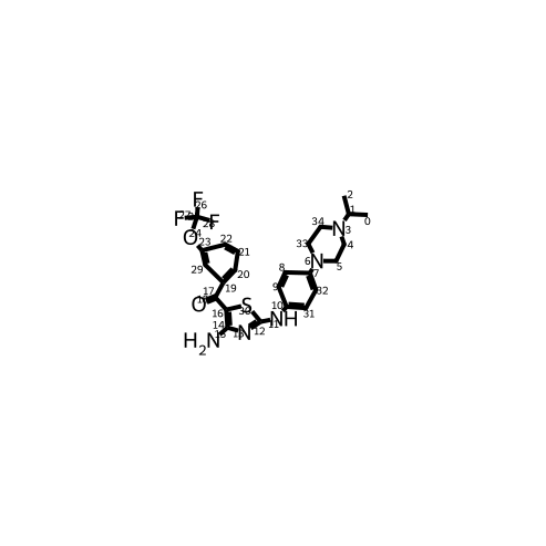 CC(C)N1CCN(c2ccc(Nc3nc(N)c(C(=O)c4cccc(OC(F)(F)F)c4)s3)cc2)CC1